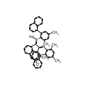 Cc1cc(C)c(N=C2C(=[N+]([Pd])c3c(C)cc(C)cc3-c3cccc4ccccc34)c3cccc4cc(Cl)c(C)c2c34)c(-c2cccc3ccccc23)c1